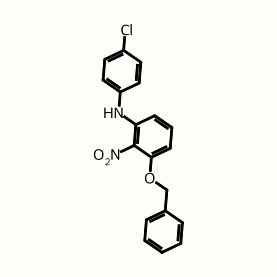 O=[N+]([O-])c1c(Nc2ccc(Cl)cc2)cccc1OCc1ccccc1